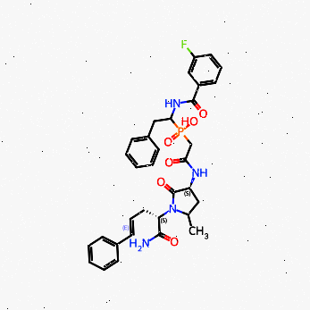 CC1C[C@H](NC(=O)CP(=O)(O)C(Cc2ccccc2)NC(=O)c2cccc(F)c2)C(=O)N1[C@@H](C/C=C/c1ccccc1)C(N)=O